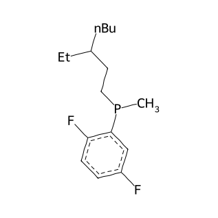 CCCCC(CC)CCP(C)c1cc(F)ccc1F